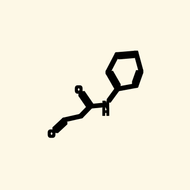 O=CCC(=O)Nc1ccccc1